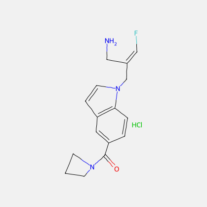 Cl.NC/C(=C\F)Cn1ccc2cc(C(=O)N3CCC3)ccc21